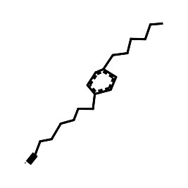 [C]#CCCCCCCc1ccc(CCCCCC)cc1